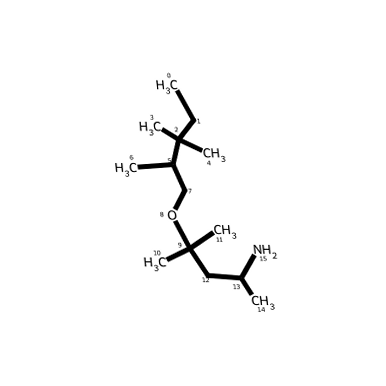 CCC(C)(C)C(C)COC(C)(C)CC(C)N